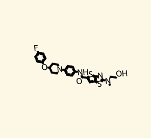 CN(CCO)c1nc2sc(C(=O)Nc3ccc(N4CCC(Oc5ccc(F)cc5)CC4)cc3)cc2s1